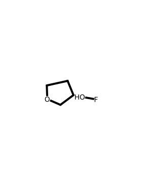 C1CCOC1.OF